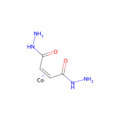 NNC(=O)/C=C\C(=O)NN.[Co]